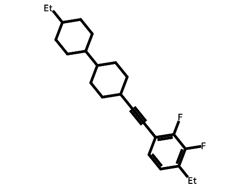 CCc1ccc(C#CC2CCC(C3CCC(CC)CC3)CC2)c(F)c1F